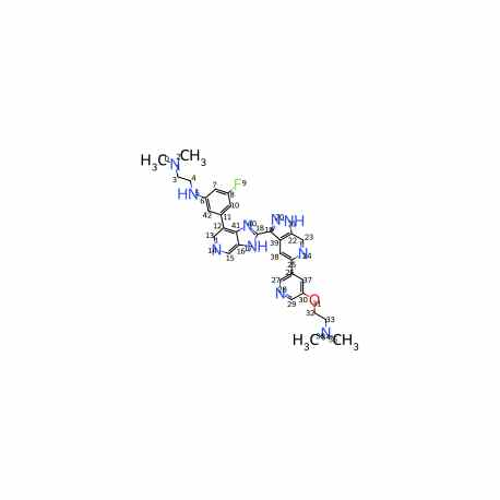 CN(C)CCNc1cc(F)cc(-c2cncc3[nH]c(-c4n[nH]c5cnc(-c6cncc(OCCN(C)C)c6)cc45)nc23)c1